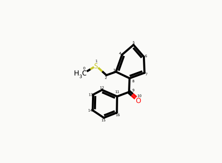 CSCc1ccccc1C(=O)c1ccccc1